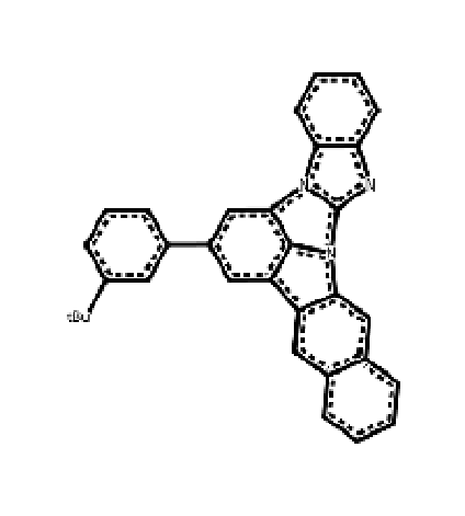 CC(C)(C)c1cccc(-c2cc3c4cc5ccccc5cc4n4c3c(c2)n2c3ccccc3nc24)c1